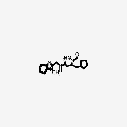 Cn1c(CNC(=O)CC(CC2CCCC2)N(O)C=O)nc2ccccc21